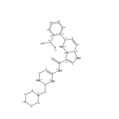 O=C(NC1=CCNC(CN2CCOCC2)N1)C1=CNC2C=CC(c3ccccc3C(F)F)NN12